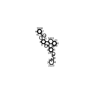 O=C(Oc1cccc(C2=C(C(=O)c3ccc(OCCN4CCCCC4)cc3)c3ccccc3CC2)c1)c1ccccc1